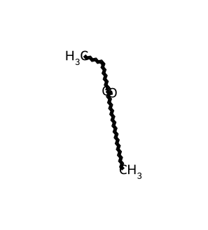 CCCCCC/C=C\CCCCCCCCOC(=O)CCCCCCCCCCCCCCCCCCCCCCCCCC